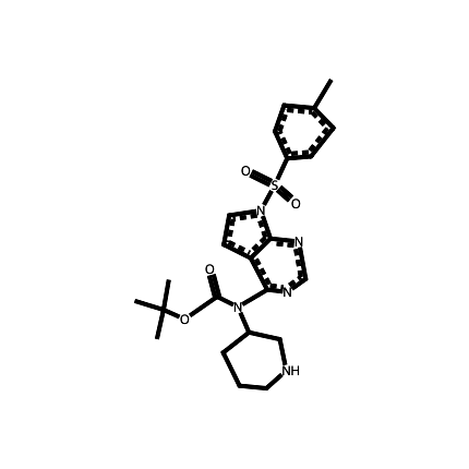 Cc1ccc(S(=O)(=O)n2ccc3c(N(C(=O)OC(C)(C)C)C4CCCNC4)ncnc32)cc1